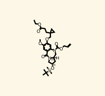 C=CCOC(=O)N1C[C@@H]2C[C@@H](O[Si](C)(C)C(C)(C)C)CN2C(=O)c2cc(OC)c(OCC3(CCC(=O)OCC)CC3)cc21